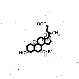 C[C@H](CCC(=O)[O-])[C@H]1CCC2C3C(CC[C@@]21C)[C@@]1(C)CC[C@@H](O)CC1C[C@H]3O.[K+]